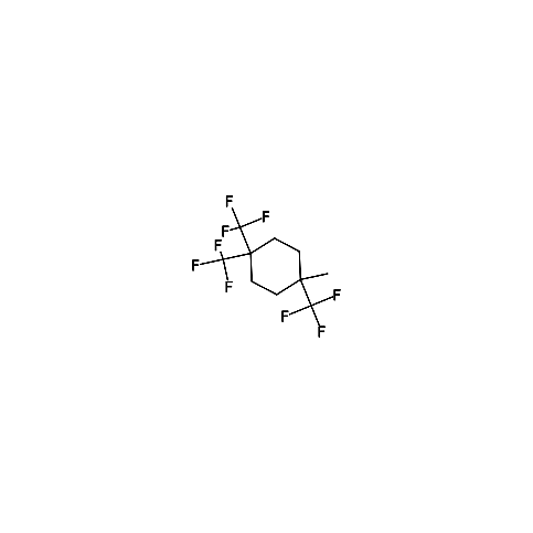 CC1(C(F)(F)F)CCC(C(F)(F)F)(C(F)(F)F)CC1